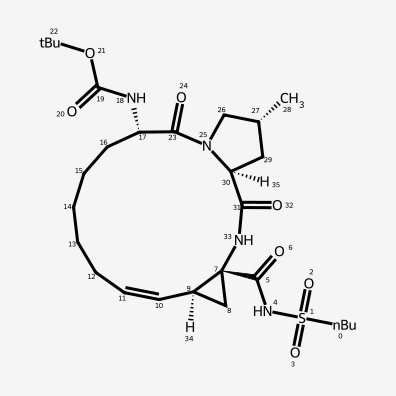 CCCCS(=O)(=O)NC(=O)[C@@]12C[C@H]1/C=C\CCCCC[C@H](NC(=O)OC(C)(C)C)C(=O)N1C[C@H](C)C[C@H]1C(=O)N2